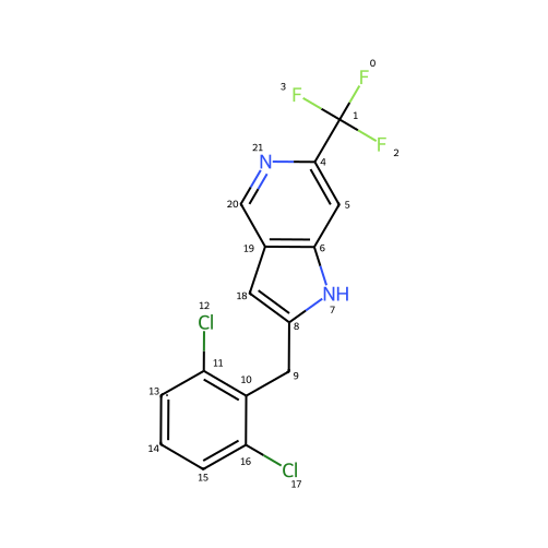 FC(F)(F)c1cc2[nH]c(Cc3c(Cl)[c]ccc3Cl)cc2cn1